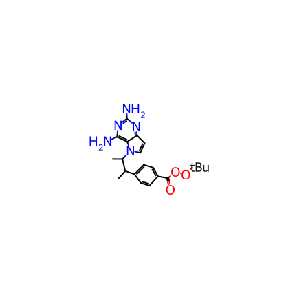 CC(c1ccc(C(=O)OOC(C)(C)C)cc1)C(C)n1ccc2nc(N)nc(N)c21